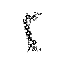 C=CC[C@H](NC(=O)O)C(=O)N1CCC[C@H]1c1ncc(-c2ccc(-c3ccc(-c4cnc([C@@H]5CCCN5C(=O)[C@@H](NC(=O)OC)C(C)C)[nH]4)cc3)cc2)[nH]1